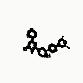 C[C@@H]1CN(c2ccc([C@H]3CN(c4nc(-c5ccncn5)cc(=O)n4C)CCN3)cc2)C[C@H](C)O1